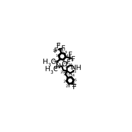 C[C@@H](c1cc(C(F)(F)F)cc(C(F)(F)F)c1)N(C)C(=O)CC1(Cc2ccc(F)cc2)CCNCC1